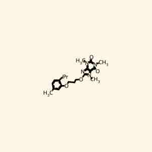 Cc1ccc(C(C)C)c(OCCCOc2nc3c(c(=O)n(C)c(=O)n3C)n2C)c1